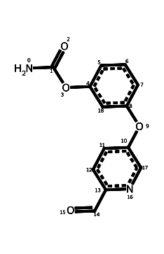 NC(=O)Oc1cccc(Oc2ccc(C=O)nc2)c1